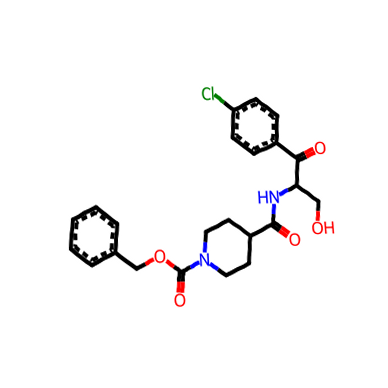 O=C(NC(CO)C(=O)c1ccc(Cl)cc1)C1CCN(C(=O)OCc2ccccc2)CC1